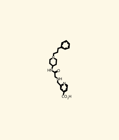 O=C(CNCc1cc(C(=O)O)ccn1)NC1CCN(CCCc2ccccc2)CC1